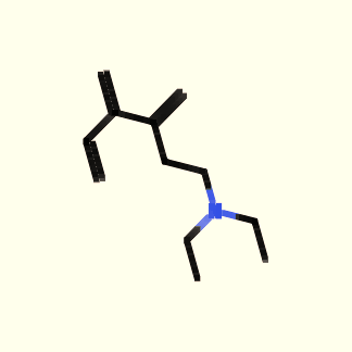 C=CC(=C)C(=C)CCN(CC)CC